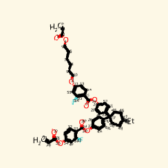 C=CC(=O)OCCCCCCOc1ccc(C(=O)Oc2ccc(C3(c4ccc(OC(=O)c5ccc(OC(=O)C=C)cc5F)cc4)CCC(CC)CC3)cc2)c(F)c1